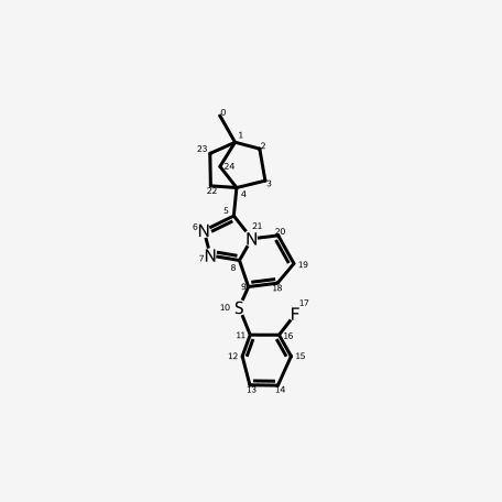 CC12CCC(c3nnc4c(Sc5ccccc5F)cccn34)(CC1)C2